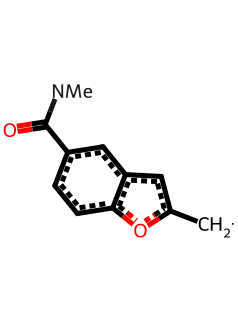 [CH2]c1cc2cc(C(=O)NC)ccc2o1